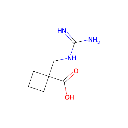 N=C(N)NCC1(C(=O)O)CCC1